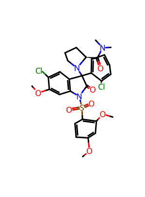 COc1ccc(S(=O)(=O)N2C(=O)C(c3ccccc3Cl)(N3CCC[C@H]3C(=O)N(C)C)c3cc(Cl)c(OC)cc32)c(OC)c1